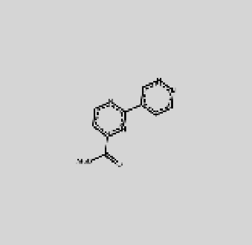 COC(=O)c1ccnc(-c2ccnnc2)n1